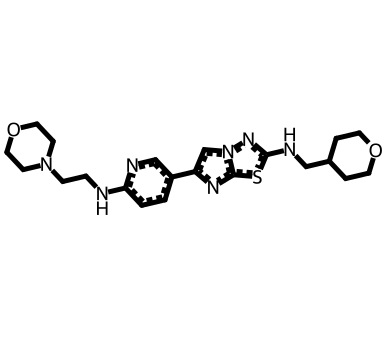 c1cc(NCCN2CCOCC2)ncc1-c1cn2nc(NCC3CCOCC3)sc2n1